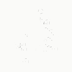 NC(CNC(=O)CNC(=O)C(Cc1ccccc1)NC(=O)CCCCCCCNC(=O)CCC(NC(=O)NCCCC(=O)O)C(=O)O)C(=O)NC(CC(=O)O)C(=O)NC(CS)C(=O)O